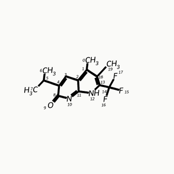 Cc1c2cc(C(C)C)c(=O)nc-2[nH]c(C(F)(F)F)c1C